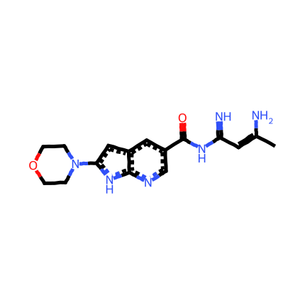 C/C(N)=C/C(=N)NC(=O)c1cnc2[nH]c(N3CCOCC3)cc2c1